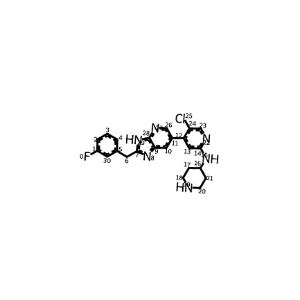 Fc1cccc(Cc2nc3cc(-c4cc(NC5CCNCC5)ncc4Cl)cnc3[nH]2)c1